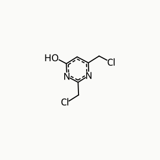 Oc1cc(CCl)nc(CCl)n1